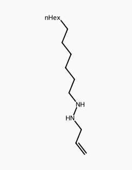 C=CCNNCCCCCCCCCCCC